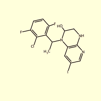 CC(c1c(F)ccc(F)c1Cl)N1c2cc(I)cnc2NCC1O